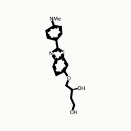 CNc1ccc(-c2nc3ccc(OC[C@@H](O)CCO)cc3s2)cc1